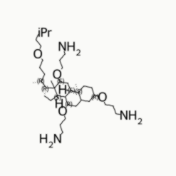 CC(C)CCOCCC[C@@H](C)[C@H]1CC[C@H]2C3[C@H](OCCCN)CC4C[C@H](OCCCN)CC[C@]4(C)[C@H]3C[C@H](OCCCN)C12C